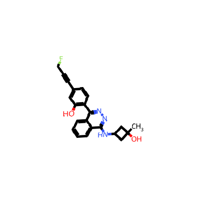 CC1(O)CC(Nc2nnc(-c3ccc(C#CCF)cc3O)c3ccccc23)C1